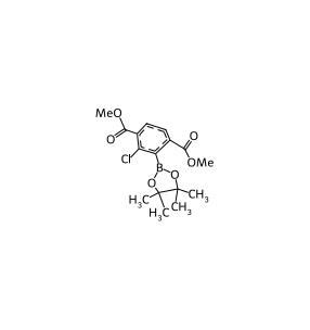 COC(=O)c1ccc(C(=O)OC)c(B2OC(C)(C)C(C)(C)O2)c1Cl